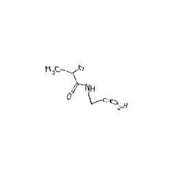 CC(Cl)C(=O)NCC(=O)O